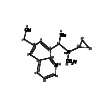 CC(C)(C)C(c1cc(CO)cc2cccnc12)N(C(=O)O)C1CC1